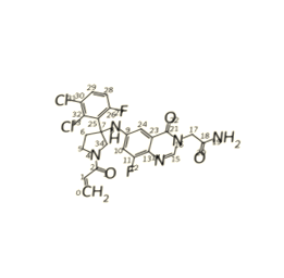 C=CC(=O)N1CCC(Nc2cc(F)c3ncn(CC(N)=O)c(=O)c3c2)(c2c(F)ccc(Cl)c2Cl)C1